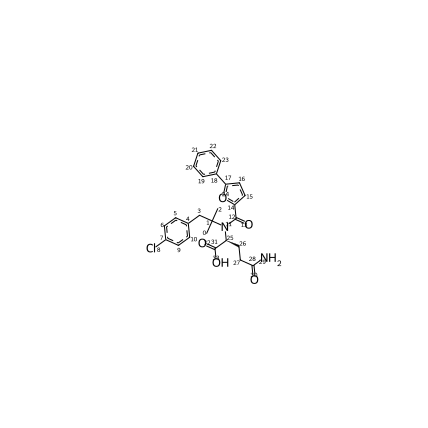 CC(C)(Cc1ccc(Cl)cc1)N(C(=O)c1ccc(-c2ccccc2)o1)[C@@H](CCC(N)=O)C(=O)O